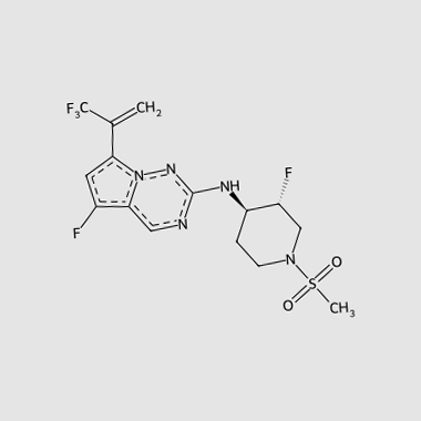 C=C(c1cc(F)c2cnc(N[C@@H]3CCN(S(C)(=O)=O)C[C@H]3F)nn12)C(F)(F)F